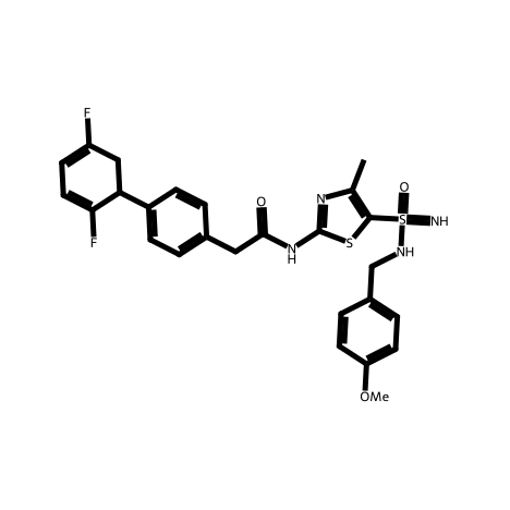 COc1ccc(CNS(=N)(=O)c2sc(NC(=O)Cc3ccc(C4CC(F)=CC=C4F)cc3)nc2C)cc1